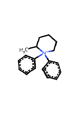 CC1CCCC[N+]1(c1ccccc1)c1ccccc1